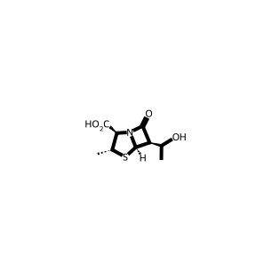 CC(O)[C@@H]1C(=O)N2[C@@H]1S[C@H](C)[C@H]2C(=O)O